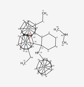 CC[C]12[CH]3[CH]4[CH]5[C]1(C1CCCCC1(P[C]16[CH]7[CH]8[CH]9[CH]1[Fe]89761%10%11%12[CH]6[CH]1[CH]%10[CH]%11[CH]6%12)[C]16[CH]7[CH]8[CH]9[C]1(CC)[Fe]89761%10%11%12[CH]6[CH]1[CH]%10[CH]%11[CH]6%12)[Fe]43521678[CH]2[CH]1[CH]6[CH]7[CH]28.CNC